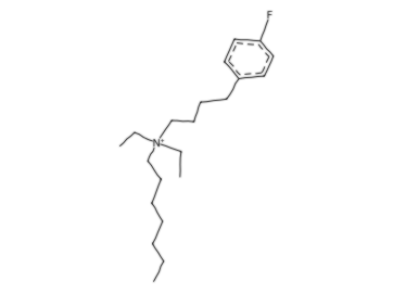 CCCCCCC[N+](CC)(CC)CCCCc1ccc(F)cc1